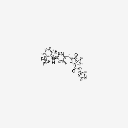 O=C(NC1(C(=O)NCc2ncc(Nc3c(F)cccc3C(F)(F)F)cc2F)CC1)Oc1cncs1